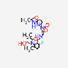 C=CC(=O)N(CCO)c1c(C)ccc(F)c1CCNC[C@H]1CN(c2ccc3c(n2)NC(=C)CO3)C(=O)O1